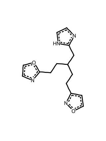 c1c[nH]c(C[C](CCc2ccon2)CCc2ncco2)n1